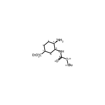 CCOC(=O)C1CC[C@@H](N)C(NC(=O)OC(C)(C)C)C1